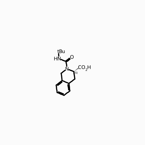 CC(C)(C)NC(=O)N1Cc2ccccc2C[C@H]1C(=O)O